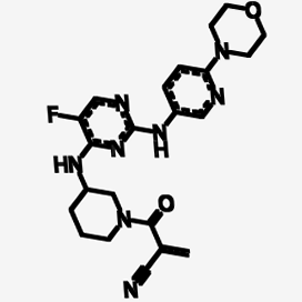 C=C(C#N)C(=O)N1CCCC(Nc2nc(Nc3ccc(N4CCOCC4)nc3)ncc2F)C1